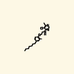 CCCCCCCc1ccc(OCCNc2ncnc(C)c2Cl)c(C)c1